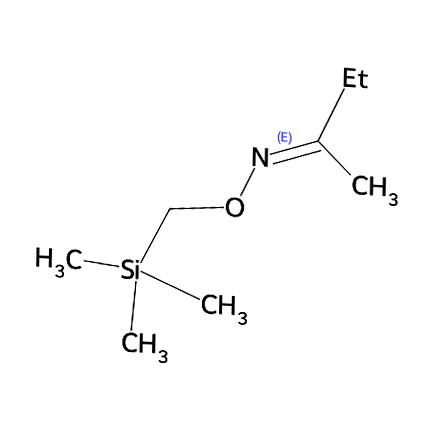 CC/C(C)=N/OC[Si](C)(C)C